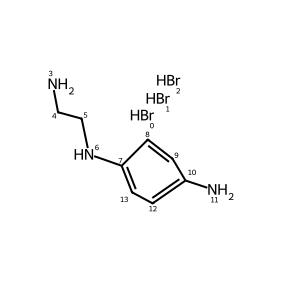 Br.Br.Br.NCCNc1ccc(N)cc1